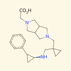 O=C(O)CN1CC2CN(CC3(CN[C@H]4CC4c4ccccc4)CC3)CC2C1